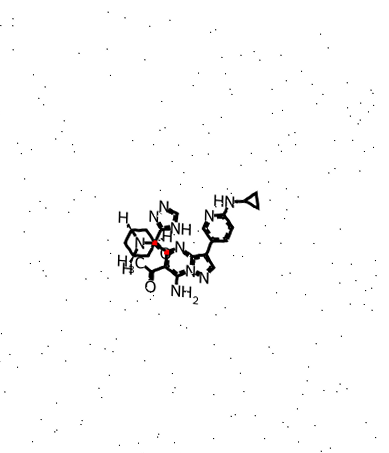 CC(=O)c1c([C@H]2C[C@@H]3C[C@H](C2)N3C(=O)c2nnc[nH]2)nc2c(-c3ccc(NC4CC4)nc3)cnn2c1N